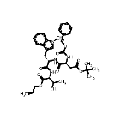 C=CCOC(=O)[C@@H](NC(=O)[C@H](Cc1cn(C)c2ccccc12)NC(=O)[C@H](CC(=O)OC(C)(C)C)NC(=O)OCc1ccccc1)C(C)C